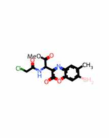 Bc1cc2oc(=O)c(C(NC(=O)CCl)C(=O)OC)nc2cc1C